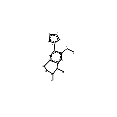 COc1cc2c(cc1-n1ccnc1)CCC(C)C2C